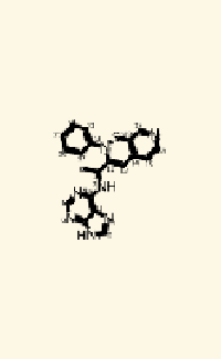 CC(Nc1ncnc2[nH]cnc12)C1=Cc2ccncc2SN1c1ccccc1